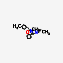 CC[C@H]1CCN(C[C@H](c2ccccc2)N(C)C(=O)Cc2ccc(C)cc2)C1